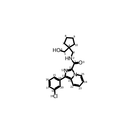 O=C(NCC1(CO)CCCC1)c1nc(-c2cccc(Cl)c2)c2ccccn12